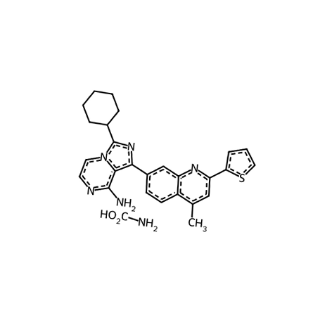 Cc1cc(-c2cccs2)nc2cc(-c3nc(C4CCCCC4)n4ccnc(N)c34)ccc12.NC(=O)O